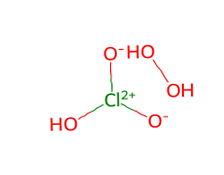 OO.[O-][Cl+2]([O-])O